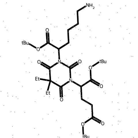 CCC1(CC)C(=O)N(C(CCCCN)C(=O)OC(C)(C)C)C(=O)N(C(CCC(=O)OC(C)(C)C)C(=O)OC(C)(C)C)C1=O